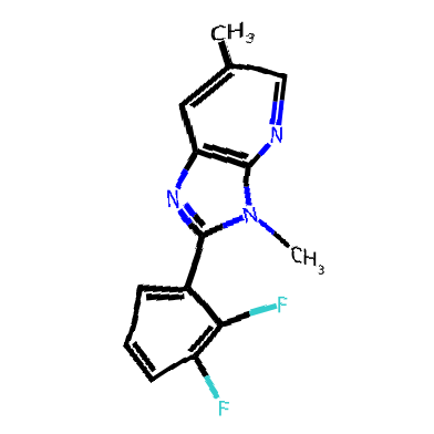 Cc1cnc2c(c1)nc(-c1cccc(F)c1F)n2C